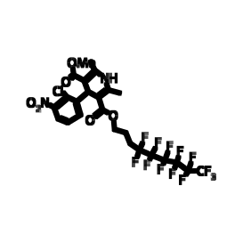 COC(=O)C1=C(C)NC(C)=C(C(=O)OCCCC(F)(F)C(F)(F)C(F)(F)C(F)(F)C(F)(F)C(F)(F)F)C1c1cccc([N+](=O)[O-])c1Cl